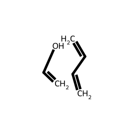 C=CC=C.C=CO